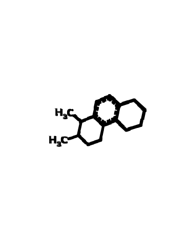 CC1CCc2c(ccc3c2CCCC3)C1C